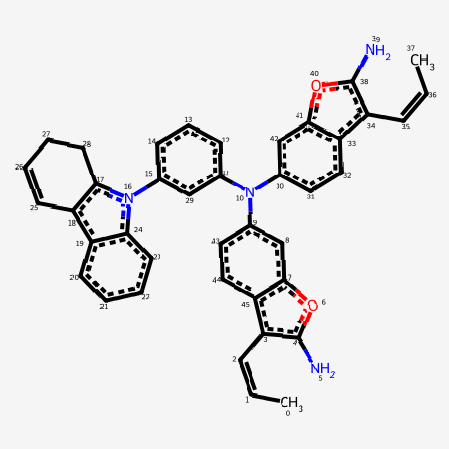 C/C=C\c1c(N)oc2cc(N(c3cccc(-n4c5c(c6ccccc64)C=CCC5)c3)c3ccc4c(/C=C\C)c(N)oc4c3)ccc12